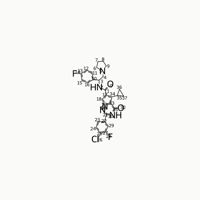 O=C(NC(CN1CCCC1)c1ccc(F)cc1)c1cn2nc(-c3ccc(Cl)c(F)c3)[nH]c(=O)c2c1C1CC1